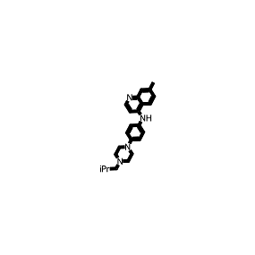 Cc1ccc2c(Nc3ccc(N4CCN(CC(C)C)CC4)cc3)ccnc2c1